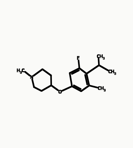 Cc1cc(OC2CCN(C)CC2)cc(F)c1C(C)C